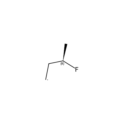 [CH2]C[C@@H](C)F